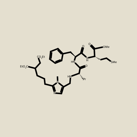 CCOC(=O)CC(CCCc1ncc(CN[C@H](C(=O)N[C@@H](Cc2ccccc2)C(=O)N[C@@H](CCSC)C(=O)OC)C(C)C)n1C)C(=O)OCC